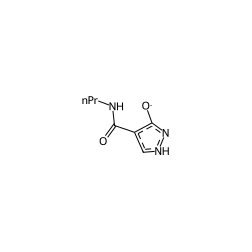 CCCNC(=O)c1c[nH]nc1[O]